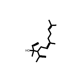 C=CC(C)(O)C(CC=C(C)CCC=C(C)C)C(=C)C